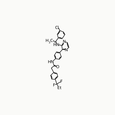 CCC(F)(F)c1ccc(CC(=O)Nc2ccc(-c3nccnc3N[C@@H](C)c3cccc(Cl)c3)cc2)cc1